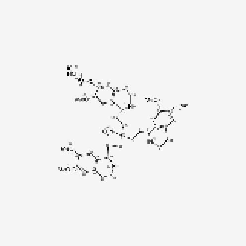 COc1cc2c(cc1OC)C(CCC(CCC1NCCc3cc(OC)c(OC)cc31)(CCC1NCCc3cc(OC)c(OC)cc31)[N+](=O)[O-])NCC2.Cl.Cl.Cl